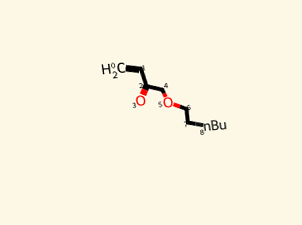 C=CC(=O)COCCCCCC